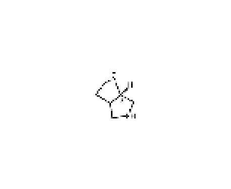 C1CC2CNC[C@H]2N1